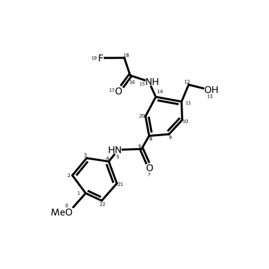 COc1ccc(NC(=O)c2ccc(CO)c(NC(=O)CF)c2)cc1